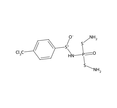 NSP(=O)(N[S+]([O-])c1ccc(C(Cl)(Cl)Cl)cc1)SN